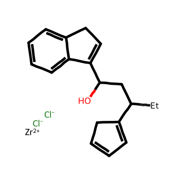 CCC(CC(O)C1=CCc2ccccc21)C1=CC=CC1.[Cl-].[Cl-].[Zr+2]